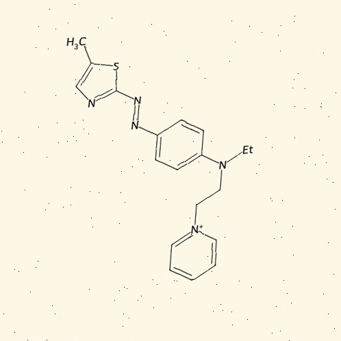 CCN(CC[n+]1ccccc1)c1ccc(N=Nc2ncc(C)s2)cc1